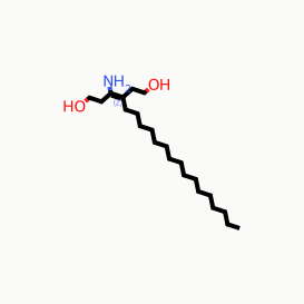 CCCCCCCCCCCCCCCC/C(CCO)=C(/N)CCO